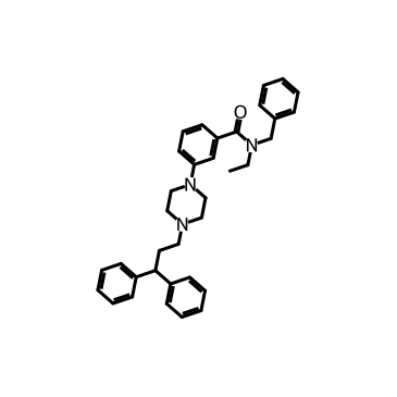 CCN(Cc1ccccc1)C(=O)c1cccc(N2CCN(CCC(c3ccccc3)c3ccccc3)CC2)c1